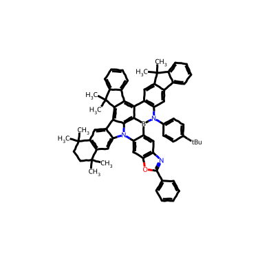 CC(C)(C)c1ccc(N2B3c4cc5nc(-c6ccccc6)oc5cc4-n4c5cc6c(cc5c5c7c(c(c3c54)-c3cc4c(cc32)-c2ccccc2C4(C)C)-c2ccccc2C7(C)C)C(C)(C)CCC6(C)C)cc1